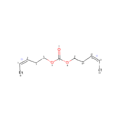 CC/C=C\CCOC(=O)OCC/C=C\CC